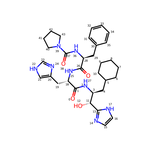 O=C(N[C@@H](CC1CCCCC1)[C@@H](O)c1ncc[nH]1)[C@H](Cc1c[nH]cn1)NC(=O)[C@H](Cc1ccccc1)NC(=O)N1CCCC1